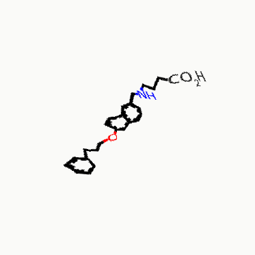 O=C(O)CCCNCc1ccc2cc(OCCCc3ccccc3)ccc2c1